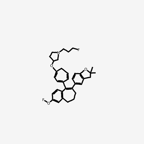 CC1(C)Cc2cc(C3=C(C4=CC=C(OC5CCN(CCCF)C5)CC=C4)c4ccc(OF)cc4CCC3)ccc2O1